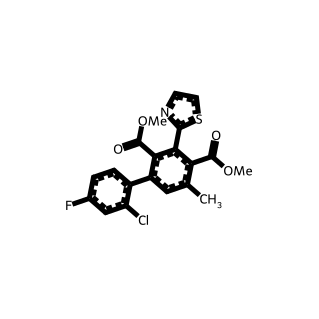 COC(=O)c1c(C)cc(-c2ccc(F)cc2Cl)c(C(=O)OC)c1-c1nccs1